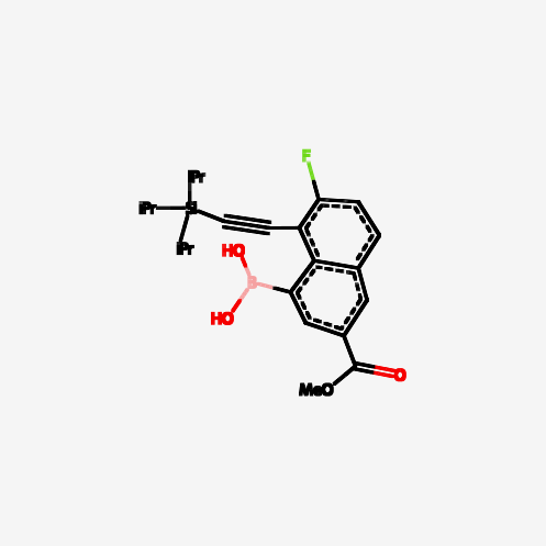 COC(=O)c1cc(B(O)O)c2c(C#C[Si](C(C)C)(C(C)C)C(C)C)c(F)ccc2c1